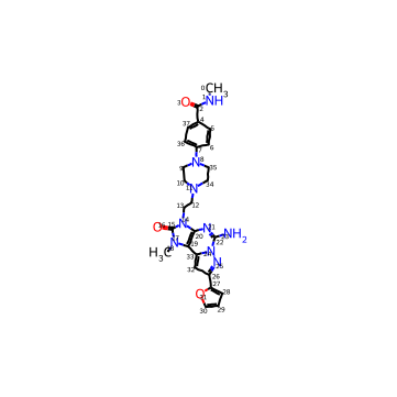 CNC(=O)c1ccc(N2CCN(CCn3c(=O)n(C)c4c3nc(N)n3nc(-c5ccco5)cc43)CC2)cc1